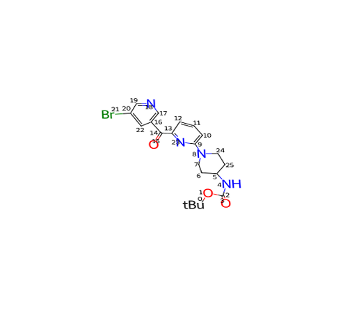 CC(C)(C)OC(=O)NC1CCN(c2cccc(C(=O)c3cncc(Br)c3)n2)CC1